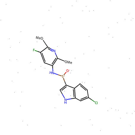 COc1nc(OC)c(N[S+]([O-])c2c[nH]c3cc(Cl)ccc23)cc1F